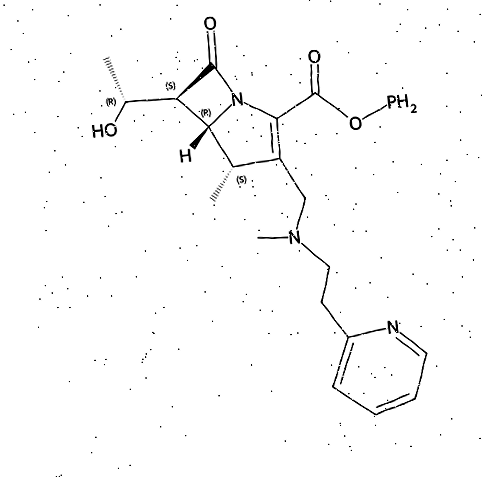 C[C@@H](O)[C@H]1C(=O)N2C(C(=O)OP)=C(CN(C)CCc3ccccn3)[C@H](C)[C@H]12